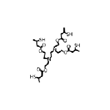 CC(S)CC(=O)OCCN(CCOC(=O)CC(C)S)CCN(CCOC(=O)CC(C)S)CCOC(=O)CC(C)S